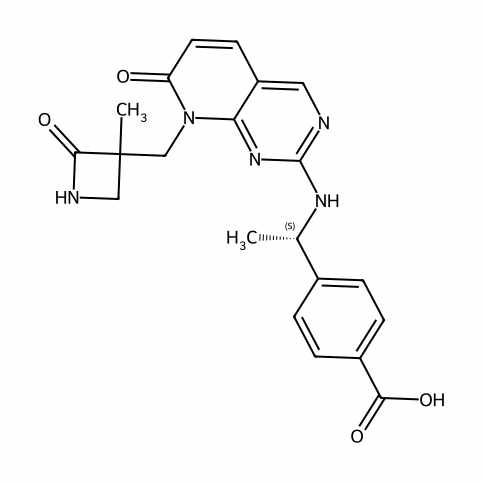 C[C@H](Nc1ncc2ccc(=O)n(CC3(C)CNC3=O)c2n1)c1ccc(C(=O)O)cc1